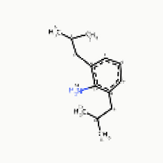 CC(C)Cc1cccc(CC(C)C)c1N